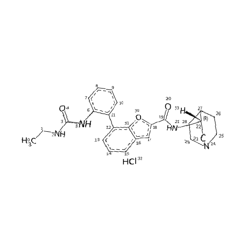 CCNC(=O)Nc1ccccc1-c1cccc2cc(C(=O)N[C@H]3CN4CCC3CC4)oc12.Cl